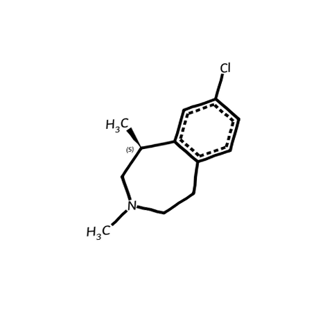 C[C@@H]1CN(C)CCc2ccc(Cl)cc21